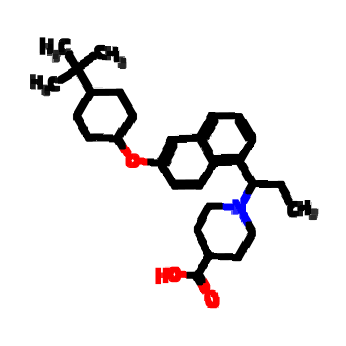 CCC(c1cccc2cc(OC3CCC(C(C)(C)C)CC3)ccc12)N1CCC(C(=O)O)CC1